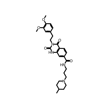 COc1ccc(CCn2c(=O)[nH]c3cc(C(=O)NCCCN4CCC(C)CC4)ccc3c2=O)cc1OC